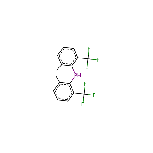 Cc1cccc(C(F)(F)F)c1Pc1c(C)cccc1C(F)(F)F